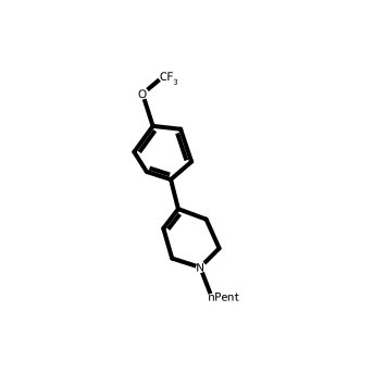 [CH2]CCCCN1CC=C(c2ccc(OC(F)(F)F)cc2)CC1